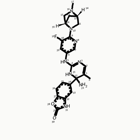 CC1=CN=C(Nc2cnc(N3C[C@@H]4C[C@H]3CN4C)c(F)c2)NC1(N)c1ccc2oc(=O)[nH]c2c1